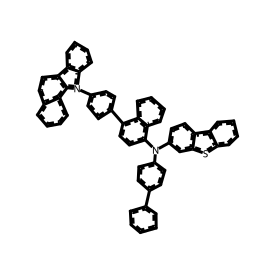 c1ccc(-c2ccc(N(c3ccc4c(c3)sc3ccccc34)c3ccc(-c4ccc(-n5c6ccccc6c6ccc7ccccc7c65)cc4)c4ccccc34)cc2)cc1